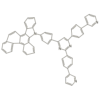 c1cncc(-c2ccc(-c3cc(-c4ccc(-n5c6ccccc6c6c7ccc8ccccc8c7c7ccccc7c65)cc4)nc(-c4ccc(-c5cccnc5)cc4)n3)cc2)c1